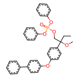 CCC(COP(=O)(Oc1ccccc1)Oc1ccccc1)(OC)c1ccc(Oc2ccc(-c3ccccc3)cc2)cc1